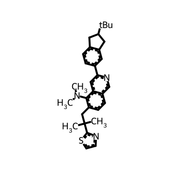 CN(C)c1c(CC(C)(C)c2nccs2)ccc2cnc(-c3ccc4c(c3)CC(C(C)(C)C)C4)cc12